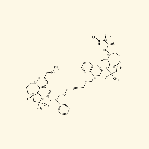 CNCC(=S)N[C@H]1CCS[C@H]2CC(C)(C)[C@@H](C(=O)C[C@H](COCC#CCOC[C@@H](CC(=O)[C@H]3N4C(=O)[C@@H](NC(=S)[C@H](C)NC)CCS[C@H]4CC3(C)C)c3ccccc3)c3ccccc3)N2C1=O